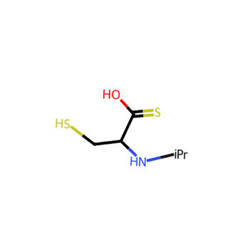 CC(C)NC(CS)C(O)=S